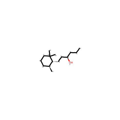 CCC[C@@H](O)CC[C@@H]1[C@@H](C)CCCC1(C)C